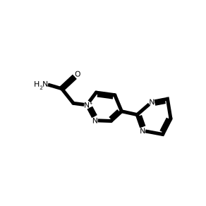 NC(=O)C[n+]1ccc(-c2ncccn2)cn1